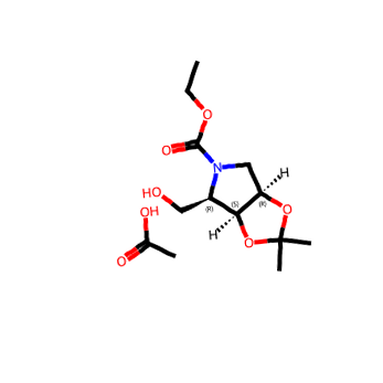 CC(=O)O.CCOC(=O)N1C[C@H]2OC(C)(C)O[C@H]2[C@H]1CO